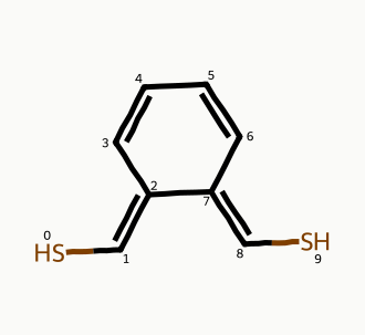 SC=c1ccccc1=CS